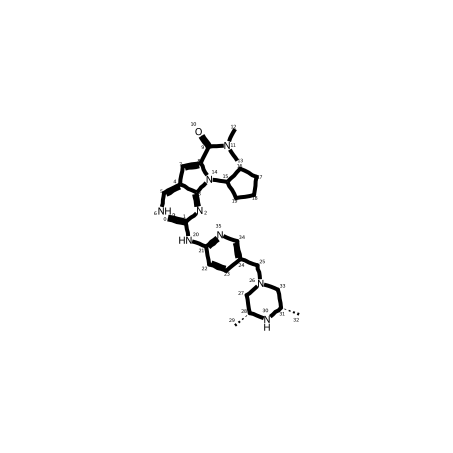 C=C(/N=C1\C(=C/N)C=C(C(=O)N(C)C)N1C1CCCC1)Nc1ccc(CN2C[C@@H](C)N[C@@H](C)C2)cn1